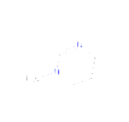 CN1C=NCCC1